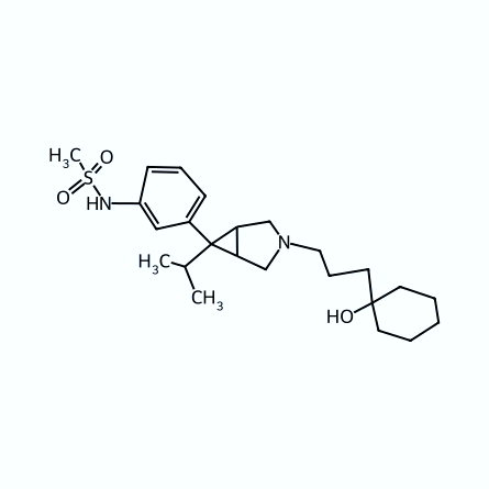 CC(C)C1(c2cccc(NS(C)(=O)=O)c2)C2CN(CCCC3(O)CCCCC3)CC21